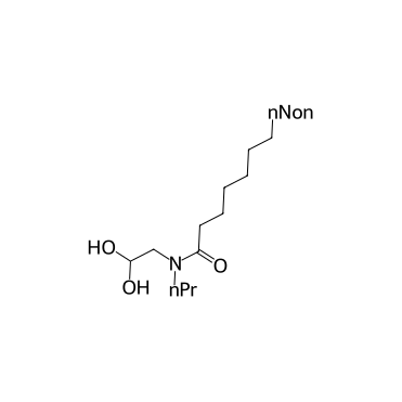 CCCCCCCCCCCCCCCC(=O)N(CCC)CC(O)O